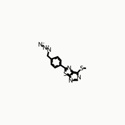 CSc1ncnc2sc(-c3ccc(CN=[N+]=[N-])cc3)nc12